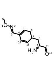 CO/N=C/C1=CCC(C[C@H](N)C=O)C=C1